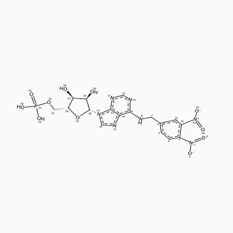 O=[N+]([O-])c1ccc(CNc2ncnc3c2ncn3[C@@H]2O[C@H](COP(=O)(O)O)[C@@H](O)[C@H]2O)cc1[N+](=O)[O-]